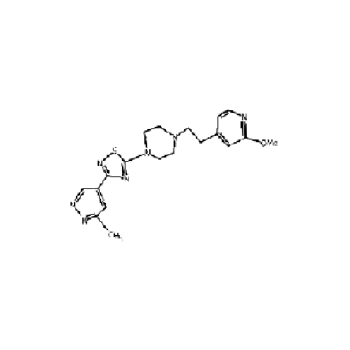 COc1cc(CCN2CCN(c3nc(-c4cnnc(C)c4)ns3)CC2)ccn1